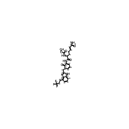 COC(=O)NC(CCC=CC(N)=O)C(=O)Nc1cccn(Cc2nc3c(CCC(F)(F)F)cccc3[nH]2)c1=O